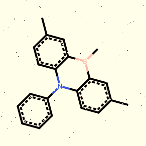 CB1c2cc(C)ccc2N(c2ccccc2)c2ccc(C)cc21